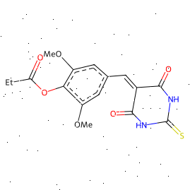 CCC(=O)Oc1c(OC)cc(C=C2C(=O)NC(=S)NC2=O)cc1OC